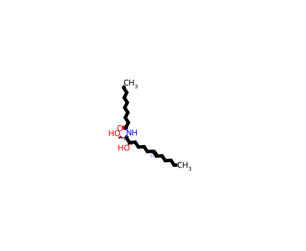 CCCCC/C=C/CCCC[C@@H](O)[C@H](CO)NC(=O)CCCCCCCCC